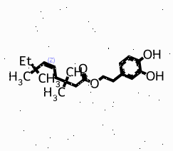 CCC(C)(C)/C=C\CC(C)(C)CC(=O)OCCc1ccc(O)c(O)c1